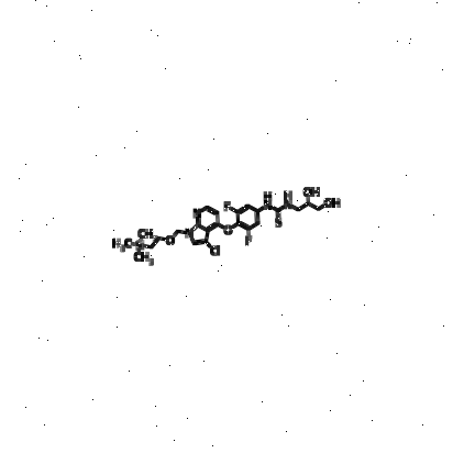 C[Si](C)(C)CCOCn1cc(Cl)c2c(Oc3c(F)cc(NC(=S)NCC(O)CO)cc3F)ccnc21